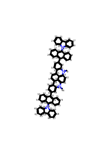 CN1c2cc(-c3c4ccccc4c(-n4c5ccccc5c5ccccc54)c4ccccc34)ccc2-c2ccc3c4c(ccc1c24)N(C)c1cc(-c2c4ccccc4c(-n4c5ccccc5c5ccccc54)c4ccccc24)ccc1-3